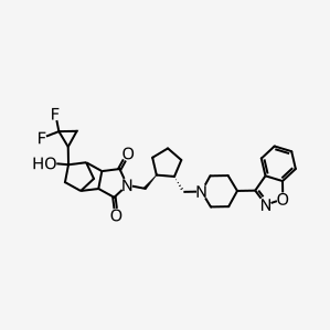 O=C1C2C3CC(C2C(=O)N1C[C@H]1CCC[C@@H]1CN1CCC(c2noc4ccccc24)CC1)C(O)(C1CC1(F)F)C3